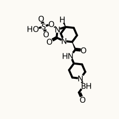 O=CBN1CCC(NC(=O)[C@@H]2CC[C@@H]3CN2C(=O)N3OS(=O)(=O)O)CC1